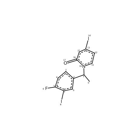 CC(c1ccc(F)c(I)c1)n1ccc(I)cc1=O